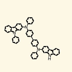 c1ccc(N(c2ccc(-c3ccc(N(c4ccccc4)c4ccc5c6ccccc6n(-c6ccccc6)c5c4)cc3)cc2)c2ccc3c(c2)[nH]c2ccccc23)cc1